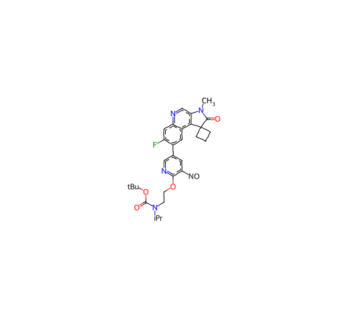 CC(C)N(CCOc1ncc(-c2cc3c4c(cnc3cc2F)N(C)C(=O)C42CCC2)cc1N=O)C(=O)OC(C)(C)C